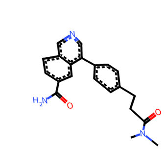 CN(C)C(=O)CCc1ccc(-c2cncc3ccc(C(N)=O)cc23)cc1